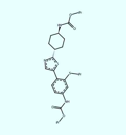 CC(C)OC(=O)Nc1ccc(-c2cnc([C@H]3CC[C@H](NC(=O)OC(C)C)CC3)s2)c(SC(C)C)c1